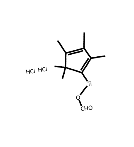 CC1=C(C)C(C)(C)[C]([Ti][O]C=O)=C1C.Cl.Cl